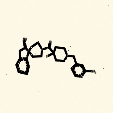 N=C1Cc2ccccc2C12CCN(C(=O)C1(F)CCN(Cc3ccnc(N)c3)CC1)CC2